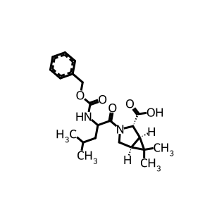 CC(C)CC(NC(=O)OCc1ccccc1)C(=O)N1C[C@H]2[C@@H]([C@H]1C(=O)O)C2(C)C